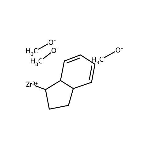 C[O-].C[O-].C[O-].[Zr+3][CH]1CCC2C=CC=CC12